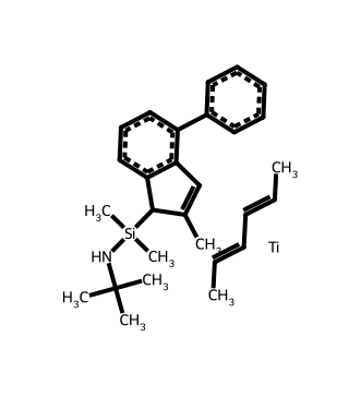 CC1=Cc2c(-c3ccccc3)cccc2C1[Si](C)(C)NC(C)(C)C.CC=CC=CC.[Ti]